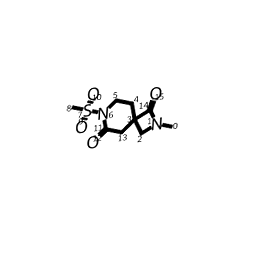 CN1CC2(CCN(S(C)(=O)=O)C(=O)C2)C1=O